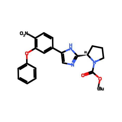 CC(C)(C)OC(=O)N1CCC[C@H]1c1ncc(-c2ccc([N+](=O)[O-])c(Oc3ccccc3)c2)[nH]1